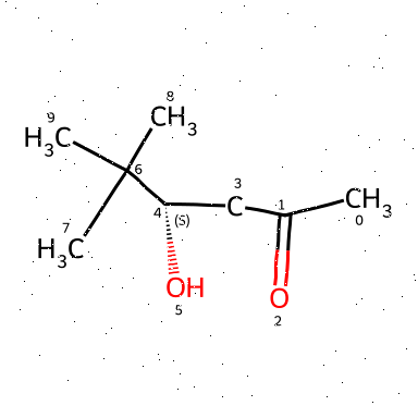 CC(=O)C[C@H](O)C(C)(C)C